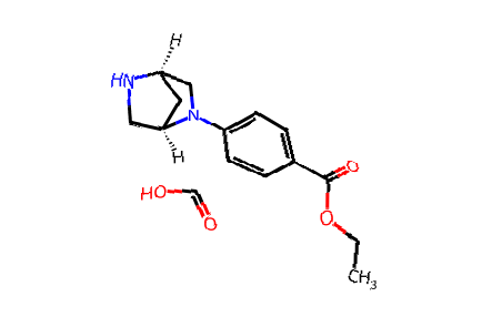 CCOC(=O)c1ccc(N2C[C@H]3C[C@@H]2CN3)cc1.O=CO